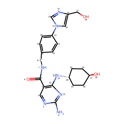 Nc1ncc(C(=O)NCc2ccc(-n3cnc(CO)c3)cc2)c(N[C@H]2CC[C@H](O)CC2)n1